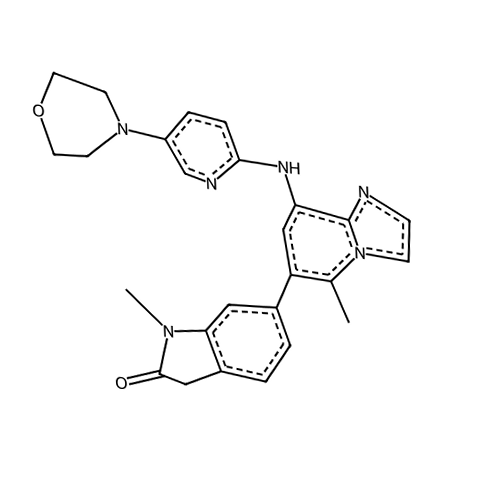 Cc1c(-c2ccc3c(c2)N(C)C(=O)C3)cc(Nc2ccc(N3CCOCC3)cn2)c2nccn12